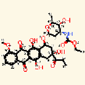 CCOC(=O)N[C@H]1C[C@H](OC2C[C@](O)(C(=O)CC)Cc3c(O)c4c(c(O)c32)C(=O)c2c(OC)cccc2C4=O)O[C@@H](C)[C@H]1O